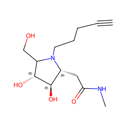 C#CCCCN1C(CO)[C@@H](O)[C@H](O)[C@H]1CC(=O)NC